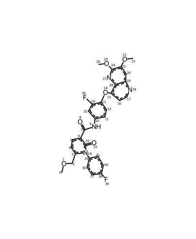 COCc1ccc(C(=O)Nc2ccc(Oc3ccnc4cc(OC)c(OC)nc34)c(F)c2)c(=O)n1-c1ccc(F)cc1